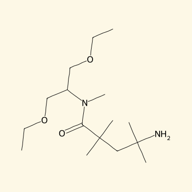 CCOCC(COCC)N(C)C(=O)C(C)(C)CC(C)(C)N